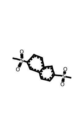 CS(=O)(=O)c1ccc2cc(S(C)(=O)=O)ccc2c1